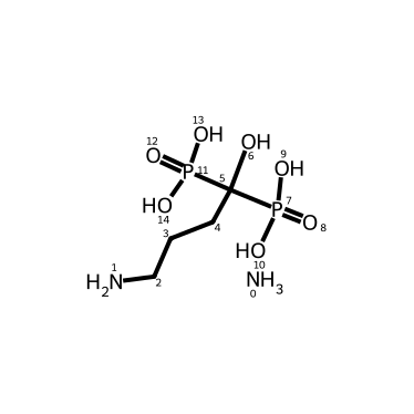 N.NCCCC(O)(P(=O)(O)O)P(=O)(O)O